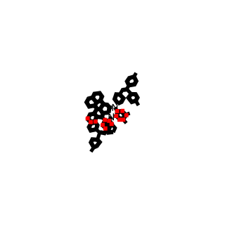 Cc1ccc(C(=Cc2ccc(N(c3ccc(C)cc3)c3cc4c5cccc6cccc(c65)c5c6ccccc6c(C67CC8CC(CC(C8)C6)C7)c(c3N(c3ccc(C)cc3)c3ccc(C=C(c6ccc(C)cc6)c6ccc(C)cc6)cc3)c45)cc2)c2ccc(C)cc2)cc1